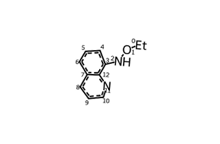 CCONc1cccc2cccnc12